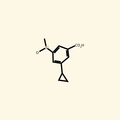 C[S+]([O-])c1cc(C(=O)O)cc(C2CC2)c1